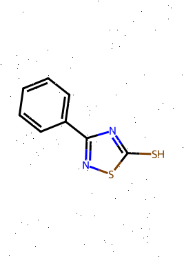 Sc1nc(-c2ccccc2)ns1